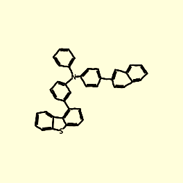 c1ccc(N(c2ccc(-c3ccc4ccccc4c3)cc2)c2cccc(-c3cccc4sc5ccccc5c34)c2)cc1